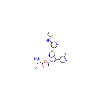 C=CC(=O)Nc1cncc(-c2cnc3c(c2)c(-c2ccnc(F)c2)cn3C(C)OC(=O)[C@@H](N)[C@@H](C)CC)c1